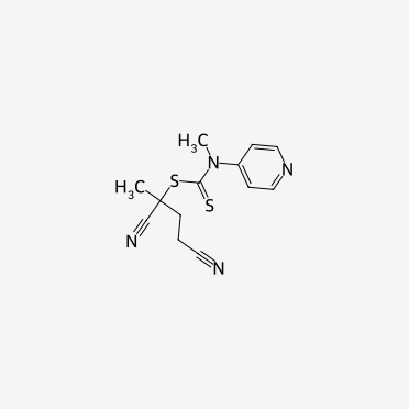 CN(C(=S)SC(C)(C#N)CCC#N)c1ccncc1